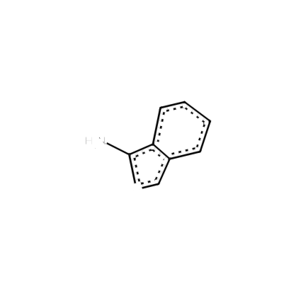 Nc1occ2ccccc12